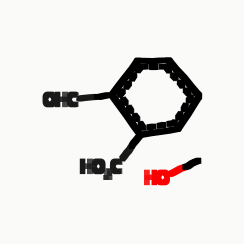 CO.O=Cc1ccccc1C(=O)O